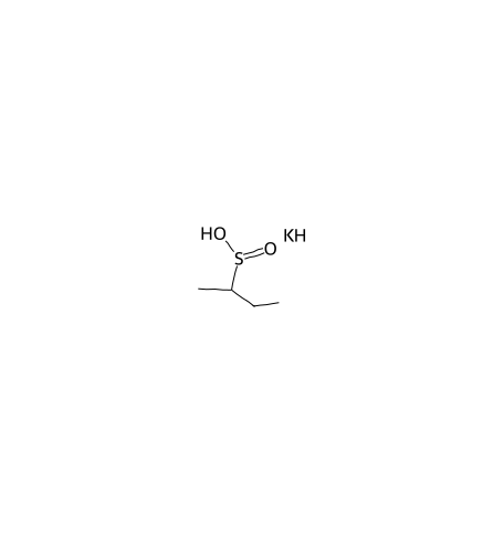 CCC(C)S(=O)O.[KH]